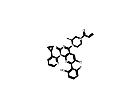 C=CC(=O)N1CCN(c2nc(=O)n(-c3ncccc3C3CC3)c3nc(-c4c(O)cccc4F)c(Cl)cc23)[C@@H](C)C1